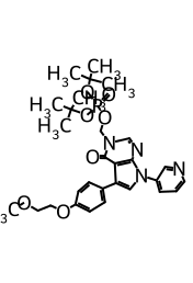 COCCOc1ccc(-c2cn(-c3cccnc3)c3ncn(COP(=O)(OC(C)(C)C)OC(C)(C)C)c(=O)c23)cc1